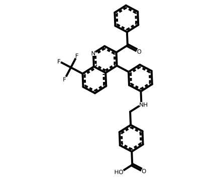 O=C(O)c1ccc(CNc2cccc(-c3c(C(=O)c4ccccc4)cnc4c(C(F)(F)F)cccc34)c2)cc1